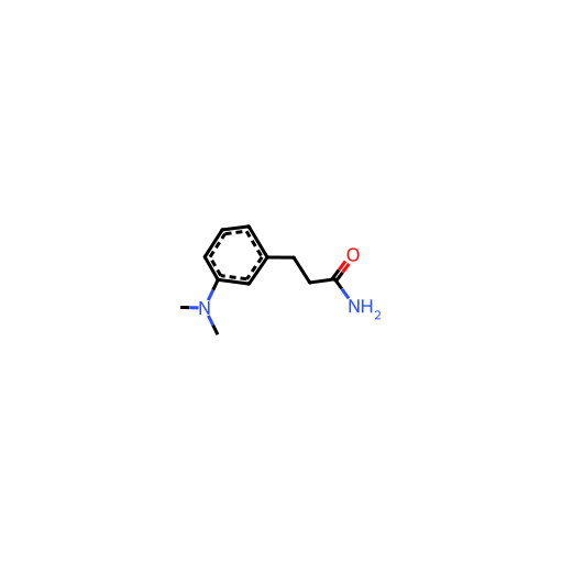 CN(C)c1cccc(CCC(N)=O)c1